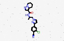 CC(Cn1ccc(-c2ccc(C#N)c(Cl)c2)n1)NC(=O)c1cnn2c1CCCC2